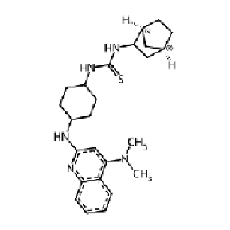 CN(C)c1cc(NC2CCC(NC(=S)NC3C[C@@H]4CC[C@H]3C4)CC2)nc2ccccc12